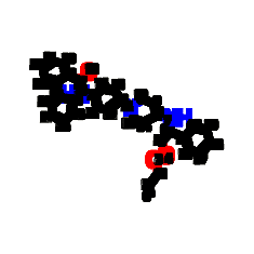 CCCOOCC(NC1CCN(c2ccc(NC(=O)c3ccccc3-c3ccccc3)cc2)CC1)c1ccccc1